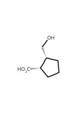 O=C(O)[C@H]1CCC[C@H]1CO